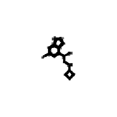 O[C@@H](CNC1CCC1)c1cc(F)cc2[nH]ncc12